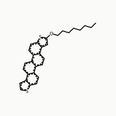 CCCCCCCCOc1cc2c(ccc3c2ccc2c4ccc5sccc5c4ccc32)s1